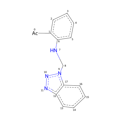 CC(=O)c1ccccc1NCn1nnc2ccccc21